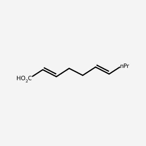 CCC/C=C/CC/C=C/C(=O)O